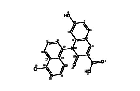 O=C(O)c1cc2ccc(O)cc2n(-c2cccc3c(Cl)nccc23)c1=O